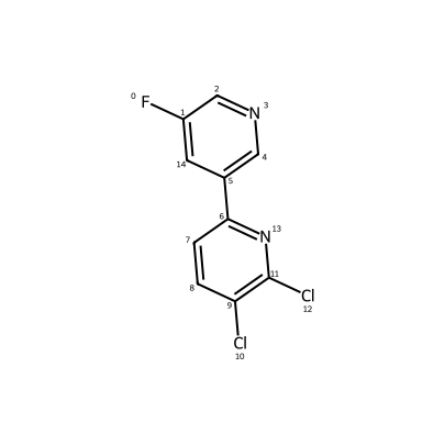 Fc1cncc(-c2ccc(Cl)c(Cl)n2)c1